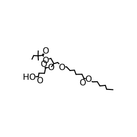 CCCCCCOC(=O)CCCCCOCC(COC(=O)C(C)(C)CC)OC(=O)CCC(=O)O